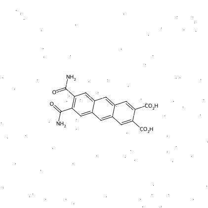 NC(=O)c1cc2cc3cc(C(=O)O)c(C(=O)O)cc3cc2cc1C(N)=O